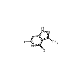 O=c1[nH]c(I)cc2[nH]nc(C(F)(F)F)c12